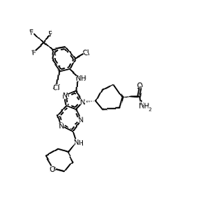 NC(=O)[C@H]1CC[C@H](n2c(Nc3c(Cl)cc(C(F)(F)F)cc3Cl)nc3cnc(NC4CCOCC4)nc32)CC1